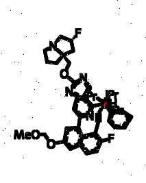 COCOc1cc(-c2cc3nc(OC[C@@]45CCCN4C[C@H](F)C5)ncc3c(Nc3ccccc3)n2)c2c(C#C[Si](C(C)C)(C(C)C)C(C)C)c(F)ccc2c1